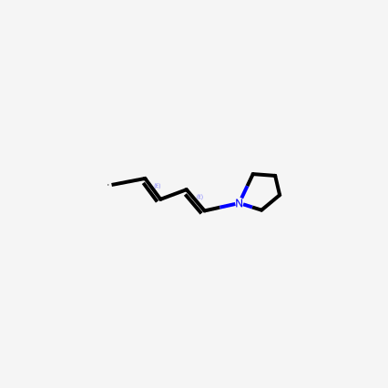 [CH2]/C=C/C=C/N1CCCC1